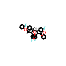 CC(OC(C)(c1ccc(F)c(Oc2ccccc2)c1)C(c1ccc(F)cc1)C1CC1)(c1ccc(F)c(Oc2ccccc2)c1)C(c1ccc(F)cc1)C1CC1